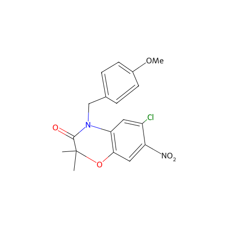 COc1ccc(CN2C(=O)C(C)(C)Oc3cc([N+](=O)[O-])c(Cl)cc32)cc1